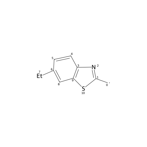 [CH2]c1nc2ccc(CC)cc2s1